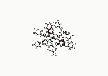 C[C@H]1O[C@@H](O[C@@H]2CC[C@@H](C(C)(C)C)C[C@H]2O[C@H]2O[C@H](COCc3ccccc3)[C@H](OCc3ccccc3)[C@H](O[C@@H](CC3CCCCC3)C(=O)OCc3ccccc3)[C@H]2OCc2ccccc2)[C@H](OCc2ccccc2)[C@@H](OCc2ccccc2)[C@H]1OCc1ccccc1